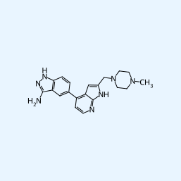 CN1CCN(Cc2cc3c(-c4ccc5[nH]nc(N)c5c4)ccnc3[nH]2)CC1